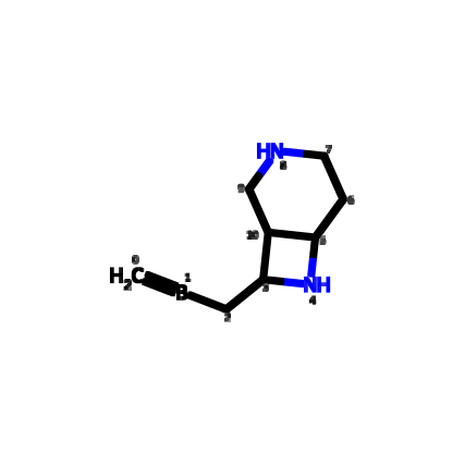 C=BCC1NC2CCNCC12